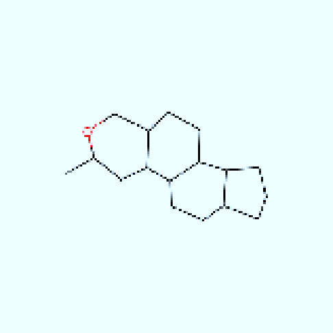 CC1CC2C(CCC3C4CCCC4CCC23)CO1